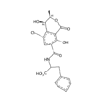 C[C@H]1OC(=O)c2c(O)c(C(=O)NC(Cc3ccccc3)C(=O)O)cc(Cl)c2[C@H]1O